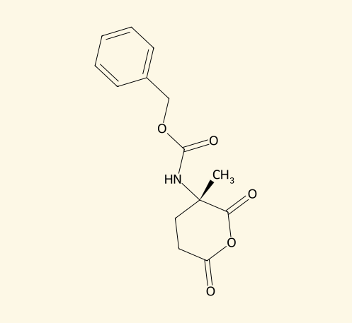 C[C@]1(NC(=O)OCc2ccccc2)CCC(=O)OC1=O